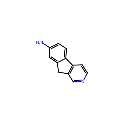 Nc1ccc2c(c1)Cc1cnccc1-2